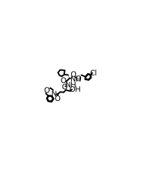 O=C(N[C@@H](CC1CCCCC1)C(=O)NOC(CO)CCC(=O)N1CCOCc2ccccc21)OCc1cccc(Cl)c1